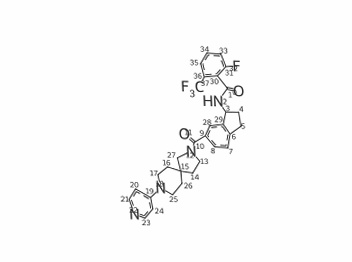 O=C(NC1CCc2ccc(C(=O)N3CCC4(CCN(c5ccncc5)CC4)C3)cc21)c1c(F)cccc1C(F)(F)F